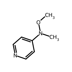 CON(C)c1ccncc1